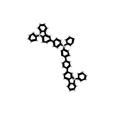 c1ccc(N(c2ccc(-c3ccc(-c4ccc5c6ccccc6n(-c6ccccc6)c5c4)cc3)cc2)c2ccc(-c3ccc4c(c3)c3ccccc3n4-c3ccccc3)cc2)cc1